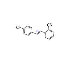 N#Cc1ccccc1/C=C/c1ccc(Cl)cc1